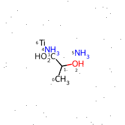 CC(O)C(=O)O.N.N.[Ti]